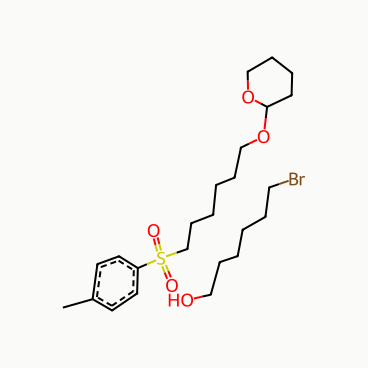 Cc1ccc(S(=O)(=O)CCCCCCOC2CCCCO2)cc1.OCCCCCCBr